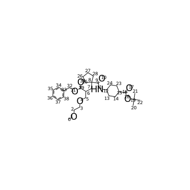 COCCOCC(CC1(C(=O)NC2CCC(C(=O)OC(C)(C)C)CC2)CCCC1)C(=O)OCc1ccccc1